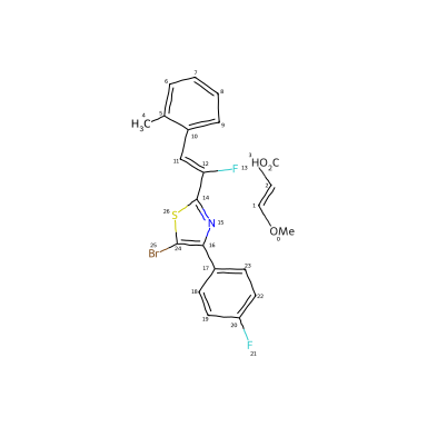 COC=CC(=O)O.Cc1ccccc1C=C(F)c1nc(-c2ccc(F)cc2)c(Br)s1